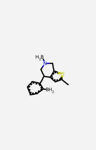 Bc1ccccc1C1CN(B)Cc2sc(C)cc21